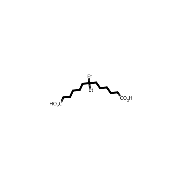 CCC(CC)(CCCCCC(=O)O)CCCCCC(=O)O